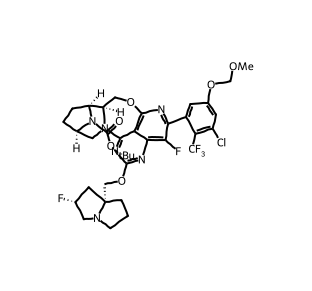 COCOc1cc(Cl)c(C(F)(F)F)c(-c2nc3c4c(nc(OC[C@]56CCCN5C[C@H](F)C6)nc4c2F)N2C[C@H]4CC[C@@H]([C@H]2CO3)N4C(=O)OC(C)(C)C)c1